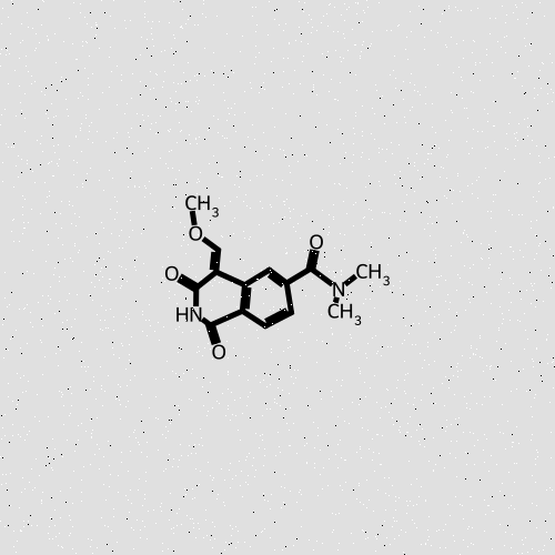 COC=C1C(=O)NC(=O)c2ccc(C(=O)N(C)C)cc21